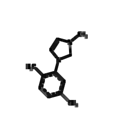 Cc1ccc(C)c(N2C=CN(C)C2)c1